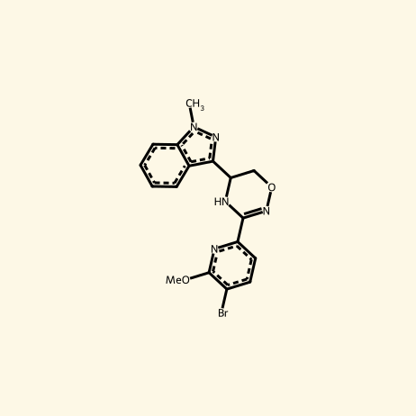 COc1nc(C2=NOCC(c3nn(C)c4ccccc34)N2)ccc1Br